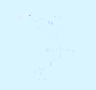 CNCCC[N+](C)(C)CCC[N+](C)(C)CCC(=O)O